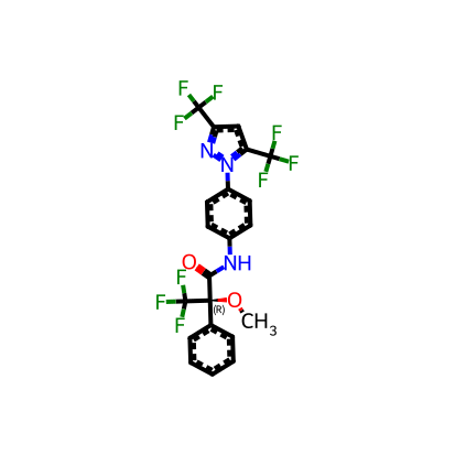 CO[C@@](C(=O)Nc1ccc(-n2nc(C(F)(F)F)cc2C(F)(F)F)cc1)(c1ccccc1)C(F)(F)F